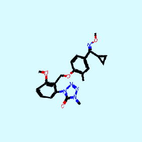 CON=C(c1ccc(OCc2c(OC)cccc2-n2nnn(C)c2=O)c(C)c1)C1CC1